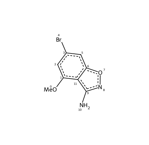 COc1cc(Br)cc2onc(N)c12